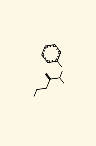 CC(Sc1ccccc1)C(=O)CCC(=O)O